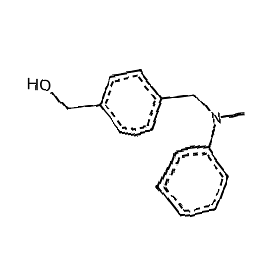 CN(Cc1ccc(CO)cc1)c1ccccc1